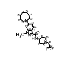 Cn1nc(C(=O)NC2CCN(CC(F)F)CC2)c2ccc(N3CCCCCCC3)nc21